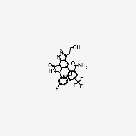 Cn1nc2c3c(c(-c4c(F)cc(C(F)(F)F)cc4C(N)=O)cc2c1CCO)C(c1cc(F)ccc1Cl)NC3=O